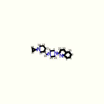 c1ccc2nc(N3CCN(C[C@H]4CCCN(C5CC5)C4)CC3)ccc2c1